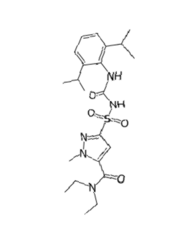 CCN(CC)C(=O)c1cc(S(=O)(=O)NC(=O)Nc2c(C(C)C)cccc2C(C)C)nn1C